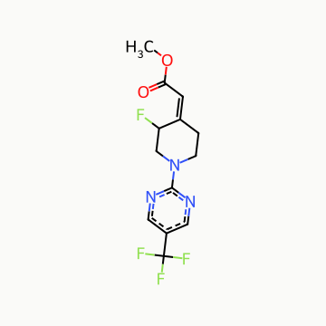 COC(=O)/C=C1/CCN(c2ncc(C(F)(F)F)cn2)CC1F